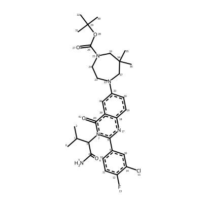 CC(C)C(C(N)=O)n1c(-c2ccc(F)c(Cl)c2)nc2ccc(N3CCN(C(=O)OC(C)(C)C)CC(C)(C)C3)cc2c1=O